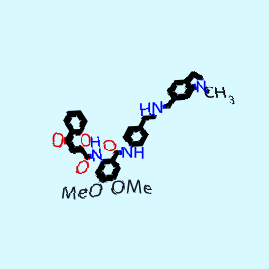 COc1cc(NC(=O)c2cc(=O)c3ccccc3o2)c(C(=O)Nc2ccc(CCNCc3ccc4ccn(C)c4c3)cc2)cc1OC